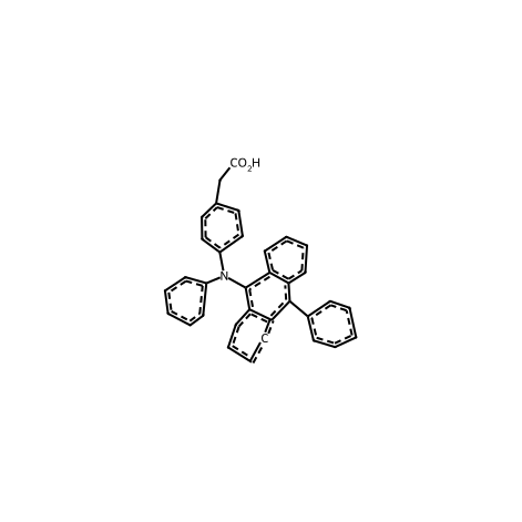 O=C(O)Cc1ccc(N(c2ccccc2)c2c3ccccc3c(-c3ccccc3)c3ccccc23)cc1